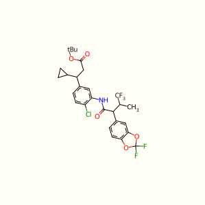 CC(C(C(=O)Nc1cc(C(CC(=O)OC(C)(C)C)C2CC2)ccc1Cl)c1ccc2c(c1)OC(F)(F)O2)C(F)(F)F